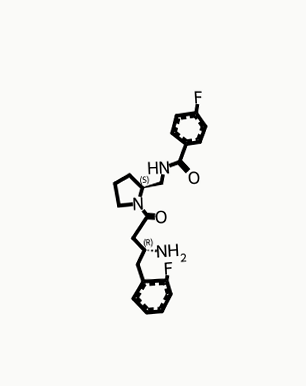 N[C@@H](CC(=O)N1CCC[C@H]1CNC(=O)c1ccc(F)cc1)Cc1ccccc1F